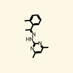 C/C(=N\Nc1nc(C)cc(C)n1)c1ccccc1C